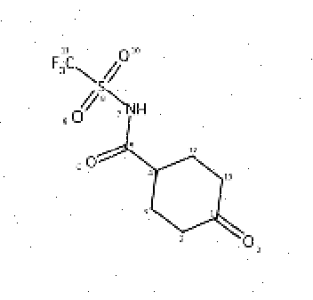 O=C1CCC(C(=O)NS(=O)(=O)C(F)(F)F)CC1